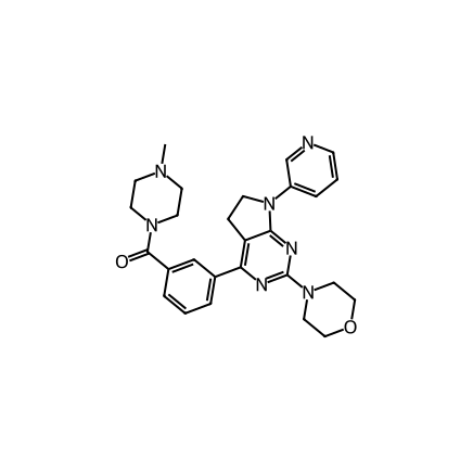 CN1CCN(C(=O)c2cccc(-c3nc(N4CCOCC4)nc4c3CCN4c3cccnc3)c2)CC1